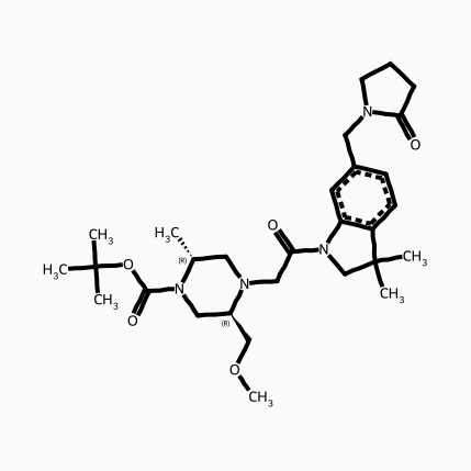 COC[C@H]1CN(C(=O)OC(C)(C)C)[C@H](C)CN1CC(=O)N1CC(C)(C)c2ccc(CN3CCCC3=O)cc21